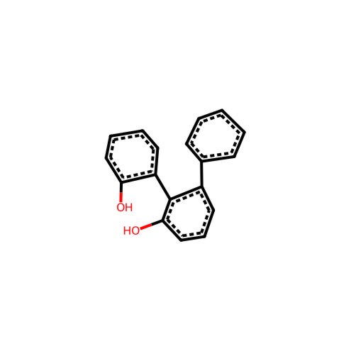 Oc1ccccc1-c1c(O)cccc1-c1ccccc1